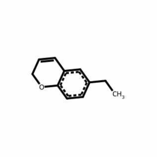 CCc1ccc2c(c1)C=CCO2